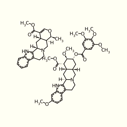 COC(=O)C1=CO[C@@H](C)[C@H]2CN3CCc4c([nH]c5ccccc45)[C@@H]3C[C@H]12.COC(=O)[C@H]1[C@H]2C[C@@H]3c4[nH]c5cc(OC)ccc5c4CCN3C[C@H]2C[C@@H](OC(=O)c2cc(OC)c(OC)c(OC)c2)[C@@H]1OC